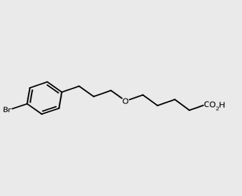 O=C(O)CCCCOCCCc1ccc(Br)cc1